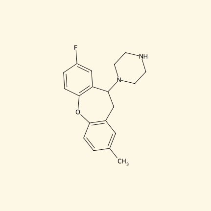 Cc1ccc2c(c1)CC(N1CCNCC1)c1cc(F)ccc1O2